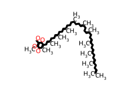 COC1=C(C=O)C(=O)C(C/C=C(\C)CC/C=C(\C)CC/C=C(\C)CCCC(C)CC/C=C(\C)CC/C=C(\C)CC/C=C(\C)CC/C=C(\C)CC/C=C(\C)CCC=C(C)C)=C(C)C1=O